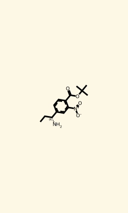 CC[C@@H](N)c1ccc(C(=O)OC(C)(C)C)c([N+](=O)[O-])c1